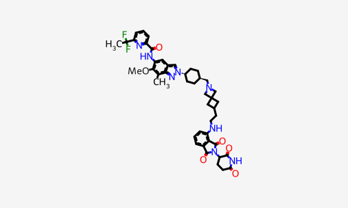 COc1c(NC(=O)c2cccc(C(C)(F)F)n2)cc2cn([C@H]3CC[C@H](CN4CC5(CC(CCNc6cccc7c6C(=O)N(C6CCC(=O)NC6=O)C7=O)C5)C4)CC3)nc2c1C